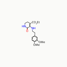 CCOC(=O)C1=C(NCCc2ccc(OC)c(OC)c2)C(=O)NCC1